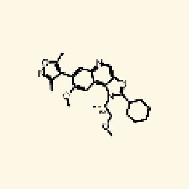 COC[C@H](C)n1c(C2CCCCC2)nc2cnc3cc(-c4c(C)noc4C)c(OC)cc3c21